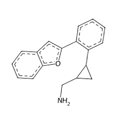 NCC1CC1c1ccccc1-c1cc2ccccc2o1